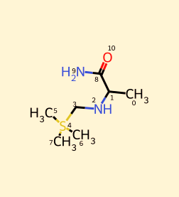 CC(NCS(C)(C)C)C(N)=O